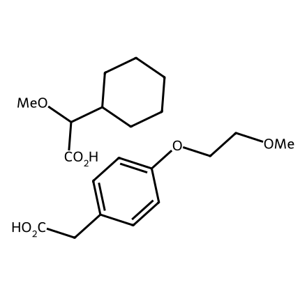 COC(C(=O)O)C1CCCCC1.COCCOc1ccc(CC(=O)O)cc1